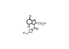 O=C(O)c1nn2c(=O)cc[nH]c2c1C(=O)N1CC(CF)C1